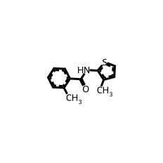 Cc1ccccc1C(=O)Nc1sccc1C